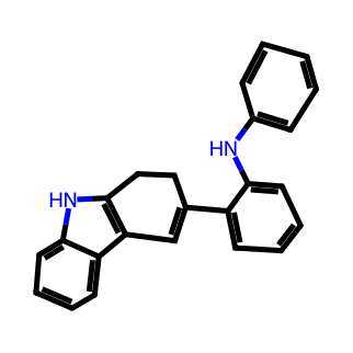 C1=C(c2ccccc2Nc2ccccc2)CCc2[nH]c3ccccc3c21